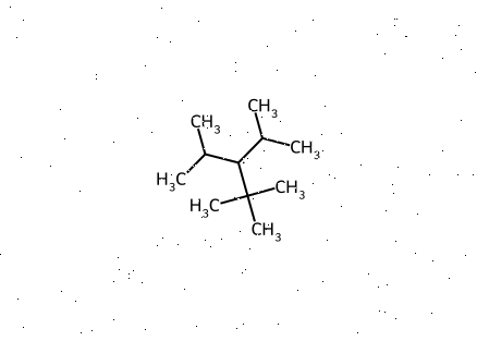 CC(C)[C](C(C)C)C(C)(C)C